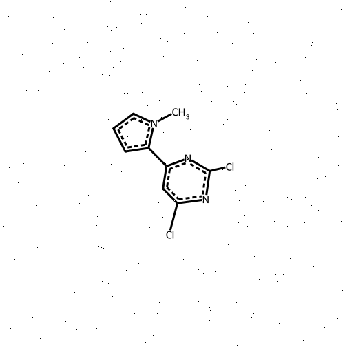 Cn1cccc1-c1cc(Cl)nc(Cl)n1